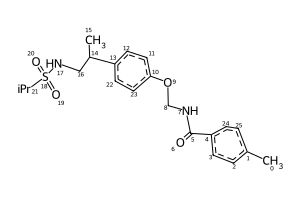 Cc1ccc(C(=O)NCOc2ccc(C(C)CNS(=O)(=O)C(C)C)cc2)cc1